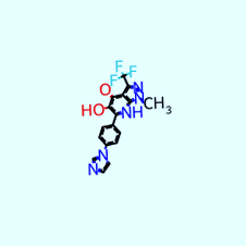 Cn1nc(C(F)(F)F)c2c(=O)c(O)c(-c3ccc(-n4ccnc4)cc3)[nH]c21